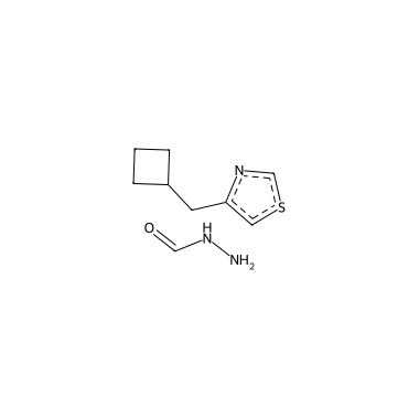 NNC=O.c1nc(CC2CCC2)cs1